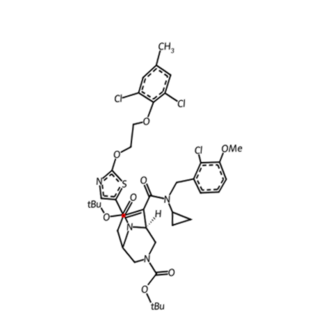 COc1cccc(CN(C(=O)C2=C(c3cnc(OCCOc4c(Cl)cc(C)cc4Cl)s3)CC3CN(C(=O)OC(C)(C)C)C[C@H]2N3C(=O)OC(C)(C)C)C2CC2)c1Cl